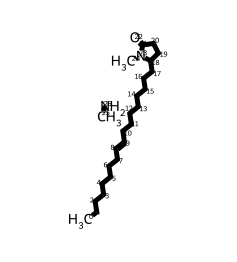 CCCCCCCCC=CCCCCCCCCC1CCC(=O)N1C.CN